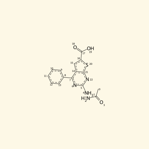 CC(N)=O.Nc1nc(-c2ccccc2)c2cc(C(=O)O)sc2n1